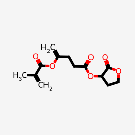 C=C(CCC(=O)OC1CCOC1=O)OC(=O)C(=C)C